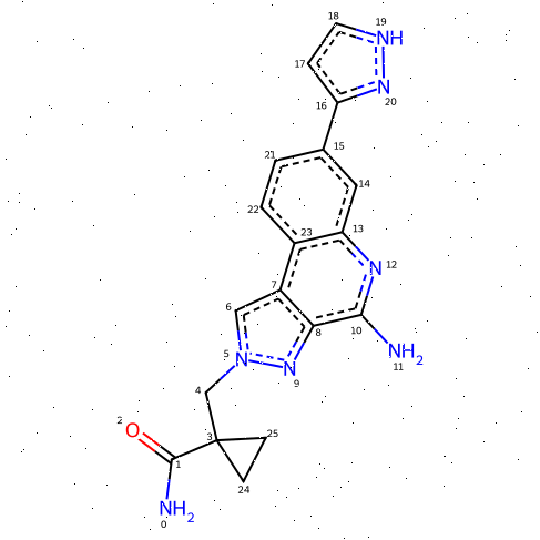 NC(=O)C1(Cn2cc3c(n2)c(N)nc2cc(-c4cc[nH]n4)ccc23)CC1